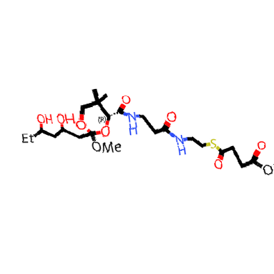 CCC(O)CC(O)CC1(OC)OCC(C)(C)[C@H](C(=O)NCCC(=O)NCCSC(=O)CCC(=O)OC)O1